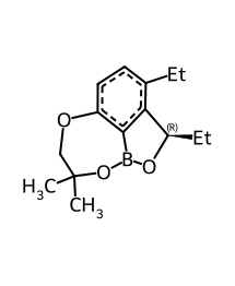 CCc1ccc2c3c1[C@@H](CC)OB3OC(C)(C)CO2